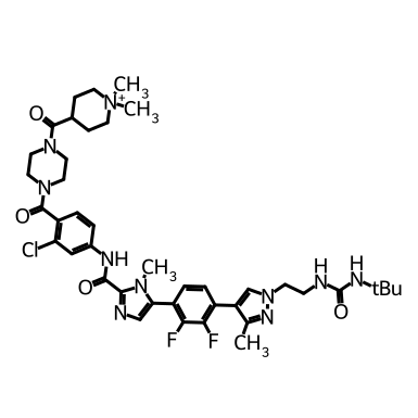 Cc1nn(CCNC(=O)NC(C)(C)C)cc1-c1ccc(-c2cnc(C(=O)Nc3ccc(C(=O)N4CCN(C(=O)C5CC[N+](C)(C)CC5)CC4)c(Cl)c3)n2C)c(F)c1F